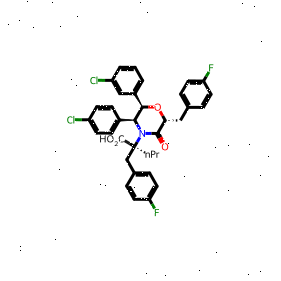 CCC[C@](Cc1ccc(F)cc1)(C(=O)O)N1C(=O)[C@@H](Cc2ccc(F)cc2)O[C@H](c2cccc(Cl)c2)[C@@H]1c1ccc(Cl)cc1